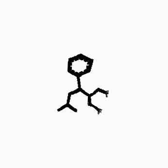 C[C](C)CC(c1ccccc1)C(CF)CF